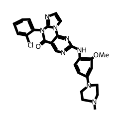 COc1cc(N2CCN(C)CC2)ccc1Nc1ncc2c(=O)n(-c3ccccc3Cl)c3nccn3c2n1